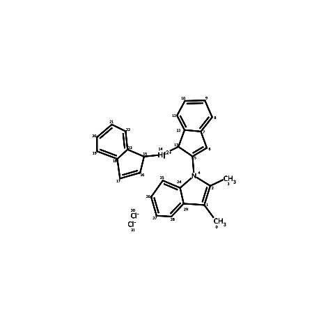 Cc1c(C)n(C2=Cc3ccccc3[CH]2[Hf+2][CH]2C=Cc3ccccc32)c2ccccc12.[Cl-].[Cl-]